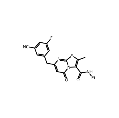 CCNC(=O)c1c(C)sc2nc(Cc3cc(F)cc(C#N)c3)cc(=O)n12